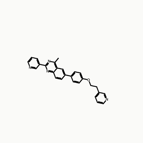 Cc1nc(-c2cccnc2)nc2ccc(-c3ccc(OCCc4cccnc4)cc3)cc12